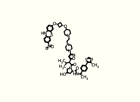 Cc1ncsc1-c1ccc([C@H](C)NC(=O)[C@@H]2C[C@@H](O)CN2C(=O)C(c2cc(N3CCN(CCN4CCC(O[C@H]5C[C@H](Oc6ccc7c(c6)Sc6cc([N+](=O)[O-])ccc6N7)C5)CC4)CC3)no2)C(C)C)cc1